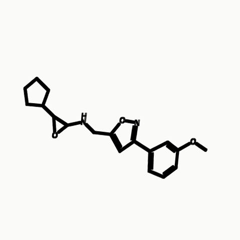 COc1cccc(-c2cc(CNC3OC3C3CCCC3)on2)c1